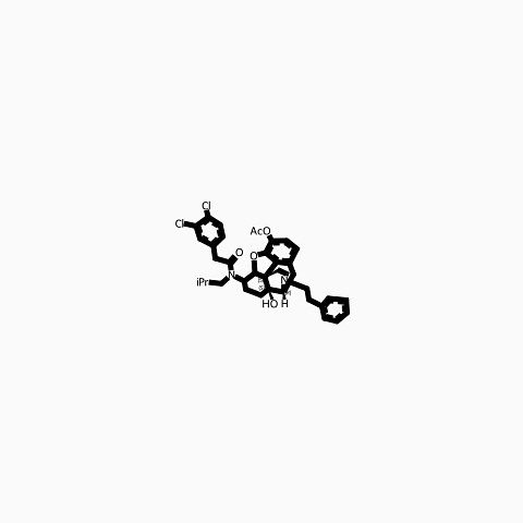 CC(=O)Oc1ccc2c3c1OC1C(N(CC(C)C)C(=O)Cc4ccc(Cl)c(Cl)c4)CC[C@@]4(O)[C@@H](C2)N(CCc2ccccc2)CC[C@]314